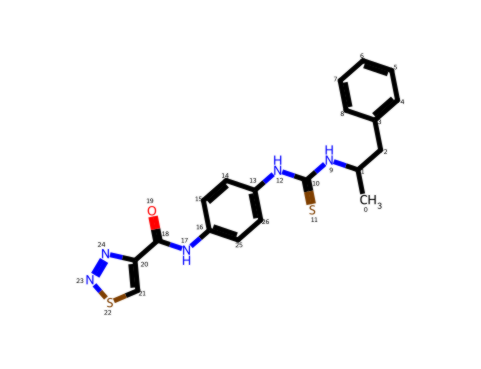 CC(Cc1ccccc1)NC(=S)Nc1ccc(NC(=O)c2csnn2)cc1